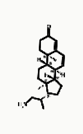 CC(CN)[C@H]1CC[C@H]2[C@@H]3C=CC4=CC(=O)CC[C@]4(C)[C@H]3CC[C@]12C